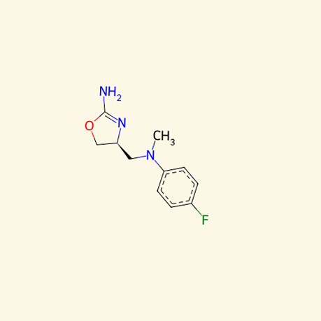 CN(C[C@H]1COC(N)=N1)c1ccc(F)cc1